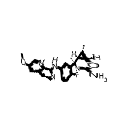 COc1cnc2c(Nc3ccc(F)c([C@]4(C)N=C(N)O[C@H]5[C@@H](C)[C@H]54)c3)nccc2c1